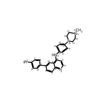 CC(C)c1ccc(-c2ccc3nccc(Nc4ccc(N5CCN(C)CC5)cc4)c3c2)cc1